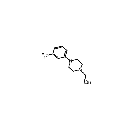 CC(C)(C)CN1CCN(c2c[c]cc(C(F)(F)F)c2)CC1